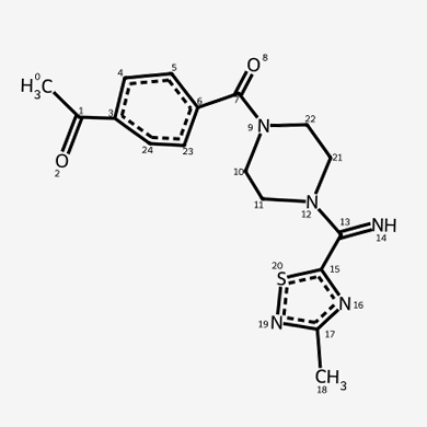 CC(=O)c1ccc(C(=O)N2CCN(C(=N)c3nc(C)ns3)CC2)cc1